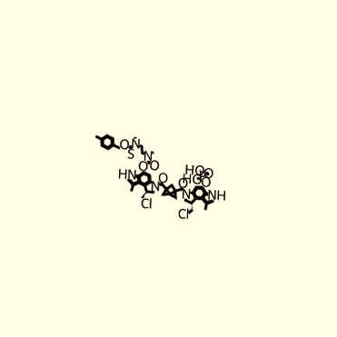 Cc1ccc(COC(=S)N(C)CCN(C)C(=O)Oc2cc3c(c4c(C)c[nH]c24)[C@H](CCl)CN3C(=O)C23CC4(C(=O)N5C[C@@H](CCl)c6c5cc(OP(=O)(O)O)c5[nH]cc(C)c65)CC24C3)cc1